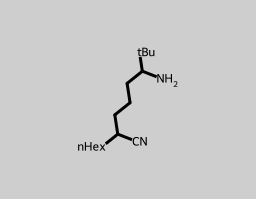 CCCCCCC(C#N)CCCC(N)C(C)(C)C